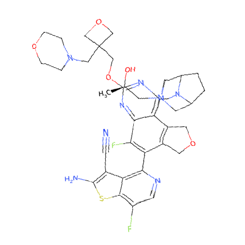 C[C@@H](O)CN1CC2CCC(C1)N2c1nc(OCC2(CN3CCOCC3)COC2)nc2c(F)c(-c3ncc(F)c4sc(N)c(C#N)c34)c3c(c12)COC3